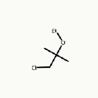 CCOC(C)(C)CCl